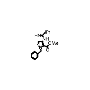 COC(=O)c1c(NC(=N)C(C)C)cnn1Cc1ccccc1